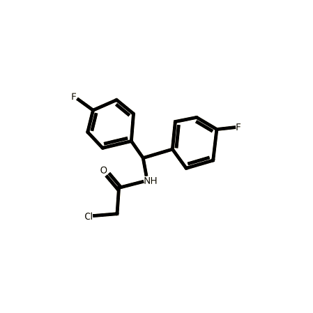 O=C(CCl)NC(c1ccc(F)cc1)c1ccc(F)cc1